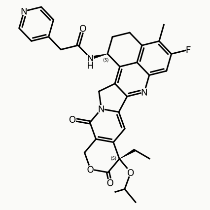 CC[C@@]1(OC(C)C)C(=O)OCc2c1cc1n(c2=O)Cc2c-1nc1cc(F)c(C)c3c1c2[C@@H](NC(=O)Cc1ccncc1)CC3